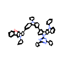 c1ccc(-c2nc(-c3ccccc3)nc(-n3c4ccc(-c5ccc6c(c5)c5cc(-c7ccc8c(c7)c7cc9oc%10ccccc%10c9cc7n8-c7ccccc7)ccc5n6-c5ccccc5)cc4c4cc5c(cc43)c3ccccc3n5-c3ccccc3)n2)cc1